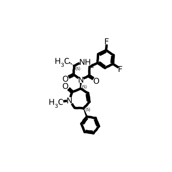 C[C@H](N)C(=O)N(C(=O)Cc1cc(F)cc(F)c1)[C@H]1C=C[C@@H](c2ccccc2)CN(C)C1=O